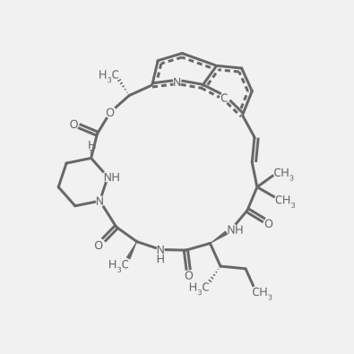 CC[C@H](C)[C@@H]1NC(=O)C(C)(C)/C=C/c2ccc3ccc(nc3c2)[C@@H](C)OC(=O)[C@@H]2CCCN(N2)C(=O)[C@H](C)NC1=O